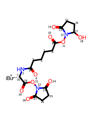 CCC(C)[C@H](NC(=O)CCCCC(=O)ON1C(=O)CCC1O)C(=O)ON1C(=O)CCC1=O